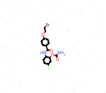 NC(=O)Oc1cc(F)ccc1NC(=O)c1ccc(OCCBr)cc1